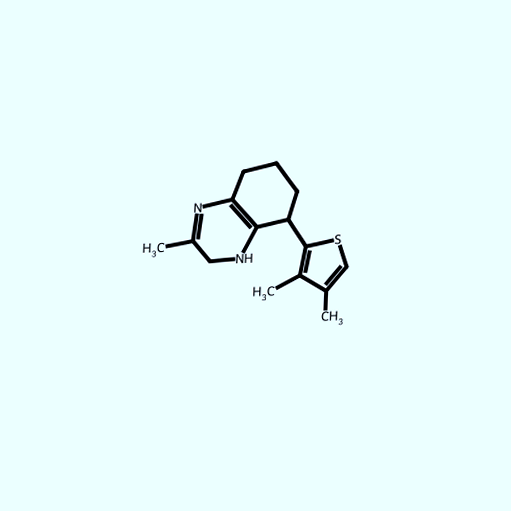 CC1=NC2=C(NC1)C(c1scc(C)c1C)CCC2